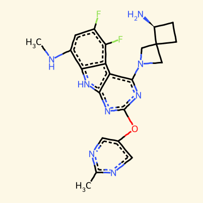 CNc1cc(F)c(F)c2c1[nH]c1nc(Oc3cnc(C)nc3)nc(N3CC4(CC[C@@H]4N)C3)c12